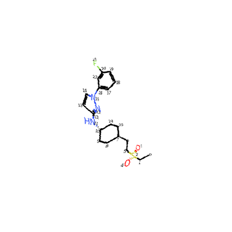 CCS(=O)(=O)CC[C@H]1CC[C@H](Nc2ccn(-c3cccc(F)c3)n2)CC1